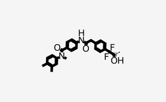 Cc1ccc(N(C)C(=O)c2ccc(NC(=O)Cc3ccc(C(F)(F)[C@H](C)O)cc3)cc2)cc1C